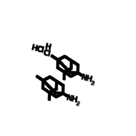 CC12CC3CC(C)(C1)CC(N)(C3)C2.CC12CC3CC(C)(C1)CC(N)(C3)C2.Cl.Cl